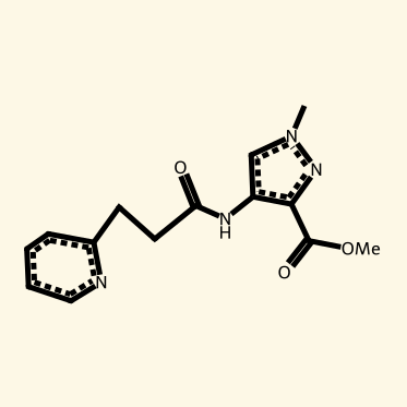 COC(=O)c1nn(C)cc1NC(=O)CCc1ccccn1